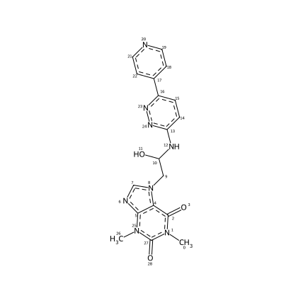 Cn1c(=O)c2c(ncn2CC(O)Nc2ccc(-c3ccncc3)nn2)n(C)c1=O